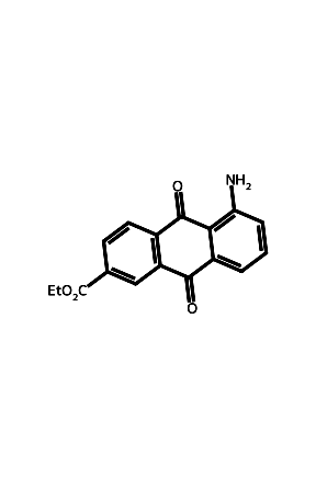 CCOC(=O)c1ccc2c(c1)C(=O)c1cccc(N)c1C2=O